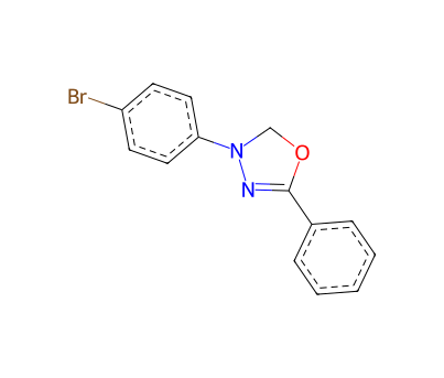 Brc1ccc(N2COC(c3ccccc3)=N2)cc1